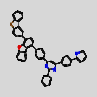 c1ccc(-c2nc(-c3ccc(-c4ccccn4)cc3)cc(-c3ccc(-c4ccc(-c5ccc6sc7ccccc7c6c5)c5oc6ccccc6c45)cc3)n2)cc1